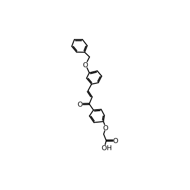 O=C(O)COc1ccc(C(=O)/C=C/c2cccc(OCc3ccccc3)c2)cc1